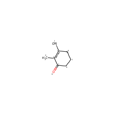 CC1=C(N=O)CCCC1=O